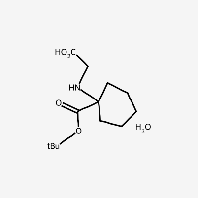 CC(C)(C)OC(=O)C1(NCC(=O)O)CCCCC1.O